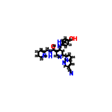 N#Cc1cnn2c(-c3cc(NC45CCC(O)(CC4)CC5)c(C(=O)NCc4ccccn4)cn3)ccc2c1